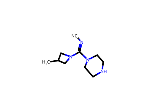 CC1CN(/C(=N\C#N)N2CCNCC2)C1